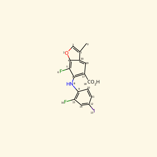 Cc1coc2c(F)c(Nc3ccc(I)cc3F)c(C(=O)O)cc12